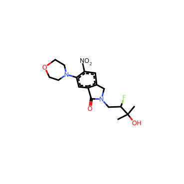 CC(C)(O)C(F)CN1Cc2cc([N+](=O)[O-])c(N3CCOCC3)cc2C1=O